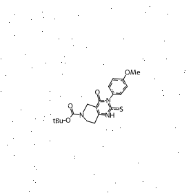 COc1ccc(-n2c(=S)[nH]c3c(c2=O)CN(C(=O)OC(C)(C)C)CC3)cc1